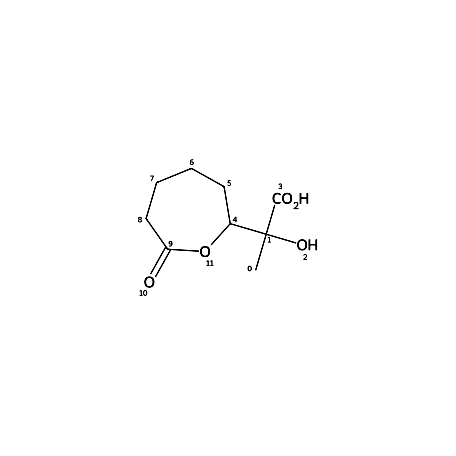 CC(O)(C(=O)O)C1CCCCC(=O)O1